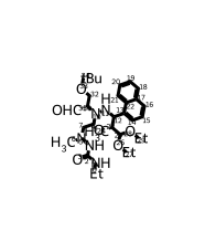 CCNC(=O)NN(C)CC(=O)N(NC(c1cccc2ccccc12)[C@H](C)C(OCC)OCC)[C@H](C=O)COC(C)(C)C